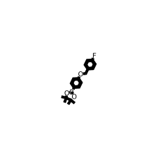 CC1(C)OB(c2ccc(OCc3ccc(F)cc3)cc2)OC1(C)C